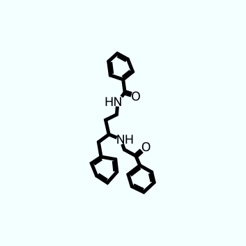 O=C(CNC(CCNC(=O)c1ccccc1)Cc1ccccc1)c1ccccc1